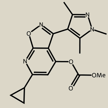 COC(=O)Oc1cc(C2CC2)nc2onc(-c3c(C)nn(C)c3C)c12